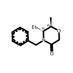 CC[C@@H]1[C@@H](C)OCC(=O)N1Cc1ccccc1